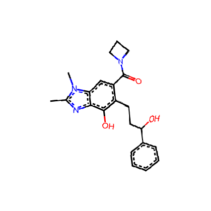 Cc1nc2c(O)c(CCC(O)c3ccccc3)c(C(=O)N3CCC3)cc2n1C